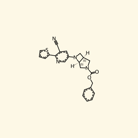 N#Cc1cc(N2C[C@H]3CN(C(=O)OCc4ccccc4)C[C@H]32)cnc1-c1cccs1